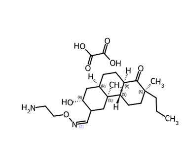 CCC[C@@]1(C)CC[C@H]2[C@@H](CC[C@@H]3C[C@@H](O)C(/C=N\OCCN)C[C@@]32C)C1=O.O=C(O)C(=O)O